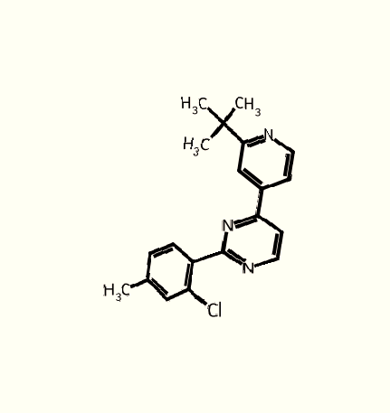 Cc1ccc(-c2nccc(-c3ccnc(C(C)(C)C)c3)n2)c(Cl)c1